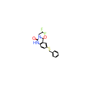 O=c1[nH]c2ccc(SCc3ccccc3)cc2c(=O)n1CC(F)F